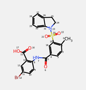 Cc1ccc(C(=O)Nc2ccc(Br)cc2C(=O)O)cc1S(=O)(=O)N1CCc2ccccc21